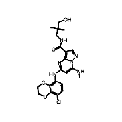 CNc1cc(Nc2ccc(Cl)c3c2OCCO3)nc2c(C(=O)NCC(C)(C)CO)cnn12